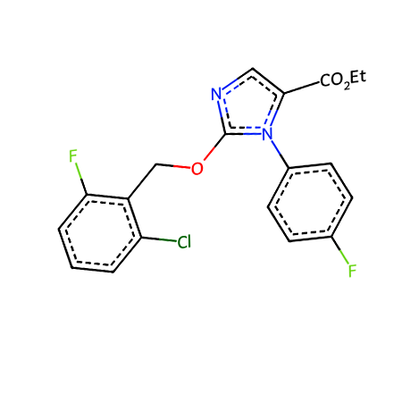 CCOC(=O)c1cnc(OCc2c(F)cccc2Cl)n1-c1ccc(F)cc1